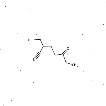 CCC(=O)CCC(C#N)CC